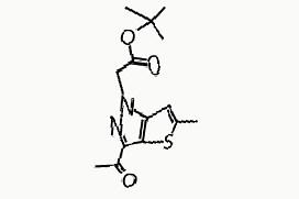 CC(=O)c1nn(CC(=O)OC(C)(C)C)c2cc(C)sc12